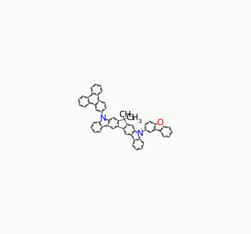 CC1(C)c2cc3c(cc2-c2cc4c5ccccc5n(-c5ccc6c7ccccc7c7ccccc7c6c5)c4cc21)c1ccccc1n3-c1ccc2oc3ccccc3c2c1